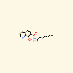 CCCCCCC(C)NC(=O)c1ccc2cccnc2c1O